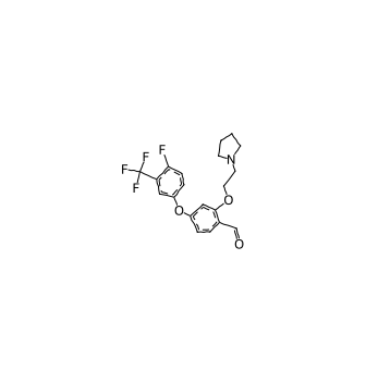 O=Cc1ccc(Oc2ccc(F)c(C(F)(F)F)c2)cc1OCCN1CCCC1